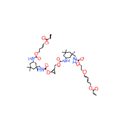 C=CC(=O)OCCCCOCCOC(=O)NCC1(C)CC(NC(=O)OCC2CC2OC(=O)NCC2(C)CC(NC(=O)OCCCCOC(=O)C=C)CC(C)(C)C2)CC(C)(C)C1